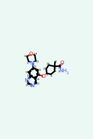 CC1(C(N)=O)CCC(Oc2cc(N3CCOCC3)cc3ncncc23)CC1